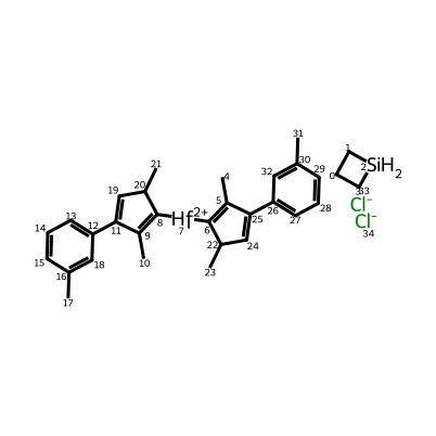 C1C[SiH2]C1.CC1=[C]([Hf+2][C]2=C(C)C(c3cccc(C)c3)=CC2C)C(C)C=C1c1cccc(C)c1.[Cl-].[Cl-]